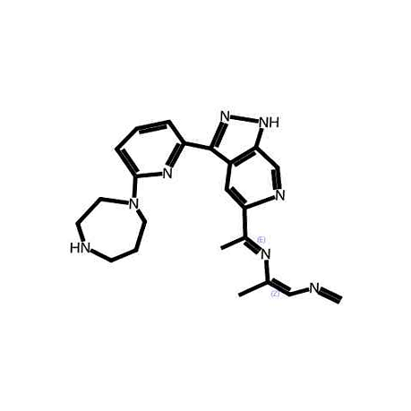 C=N/C=C(C)\N=C(/C)c1cc2c(-c3cccc(N4CCCNCC4)n3)n[nH]c2cn1